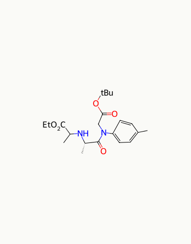 CCOC(=O)C(C)N[C@@H](C)C(=O)N(CC(=O)OC(C)(C)C)c1ccc(C)cc1